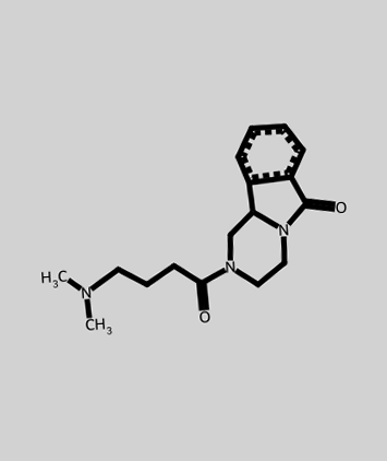 CN(C)CCCC(=O)N1CCN2C(=O)c3ccccc3C2C1